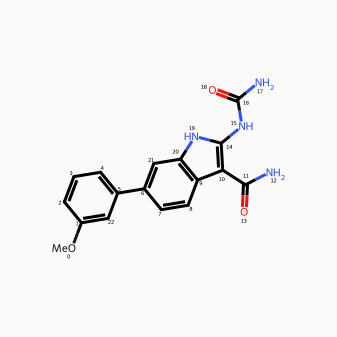 COc1cccc(-c2ccc3c(C(N)=O)c(NC(N)=O)[nH]c3c2)c1